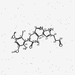 COc1cc(OC)c(F)c(N2Cc3cnc4[nH]c(CCC=O)cc4c3N(C)C2=O)c1F